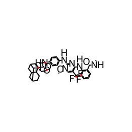 CNC(=O)c1cccc(C)c1Nc1nc(Nc2ccc(NC(=O)C3CC4CC5CC(CCC53)C4N3CCOCC3)cc2OC)ncc1C(F)(F)F